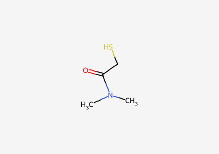 CN(C)C(=O)CS